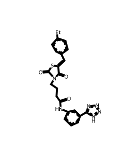 CCc1ccc(/C=C2\SC(=O)N(CCCC(=O)Nc3cccc(-c4nnn[nH]4)c3)C2=O)cc1